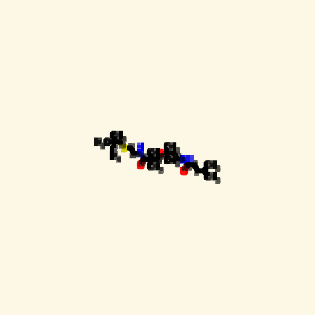 CC(C)CCC(=O)NCCC(C)(C)OCC(C)(C)C(=O)NCCSCC(C)(C)C